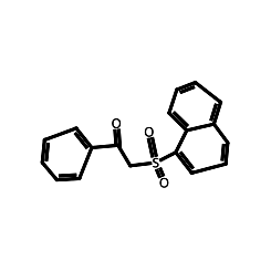 O=C(CS(=O)(=O)c1cccc2ccccc12)c1ccccc1